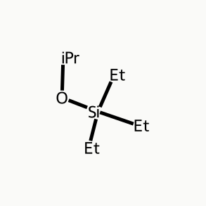 CC[Si](CC)(CC)OC(C)C